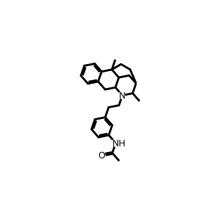 CC(=O)Nc1cccc(CCN2C(C)C3CCC4(C)c5ccccc5CC2C4C3)c1